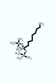 [CH2]CCCCCCC[Si](C)(O[Si](C)(C)C)O[Si](C)(C)C